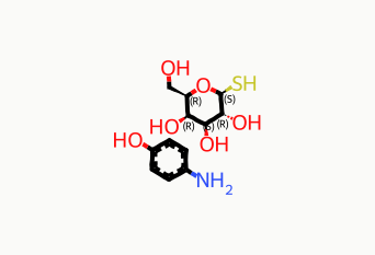 Nc1ccc(O)cc1.OC[C@H]1O[C@@H](S)[C@H](O)[C@@H](O)[C@H]1O